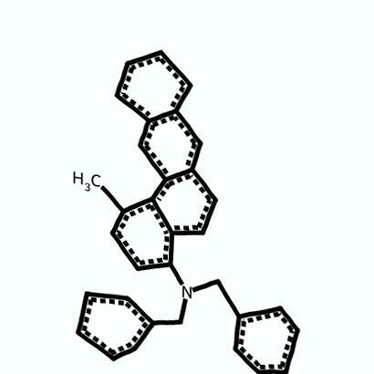 Cc1ccc(N(Cc2ccccc2)Cc2ccccc2)c2ccc3cc4ccccc4cc3c12